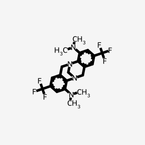 CN(C)c1cc(C(F)(F)F)cc2c1N1Cc3cc(C(F)(F)F)cc(N(C)C)c3N(C2)C1